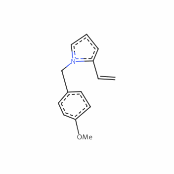 C=Cc1cccn1Cc1ccc(OC)cc1